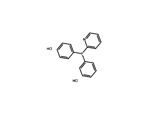 Cl.Cl.c1ccc(P(c2ccccc2)c2ccccn2)cc1